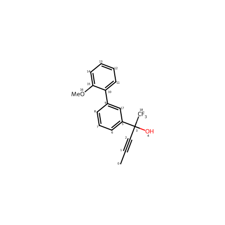 CC#CC(O)(c1cccc(-c2ccccc2OC)c1)C(F)(F)F